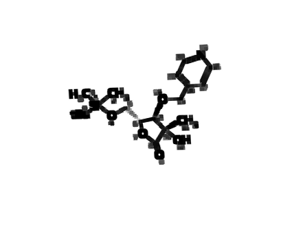 CC(C)(C)[Si](C)(C)OC[C@H]1OC(=O)[C@@](C)(O)[C@@H]1OCc1ccncc1